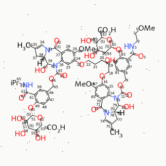 COCCNC(=O)c1cc(COC(=O)N2c3cc(OCCCCCOc4cc5c(cc4OC)C(=O)N4C=C(C)C[C@H]4C(O)N5C(=O)OCc4ccc(O[C@@H]5O[C@H](C(=O)O)[C@@H](O)[C@H](O)[C@H]5O)c(C(=O)NC(C)C)c4)c(OC)cc3C(=O)N3C=C(C)C[C@H]3C2O)ccc1O[C@@H]1O[C@H](C(=O)O)[C@@H](O)[C@H](O)[C@H]1O